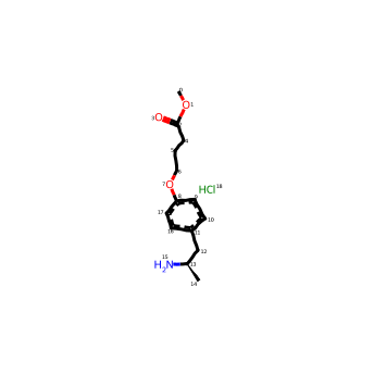 COC(=O)CCCOc1ccc(C[C@@H](C)N)cc1.Cl